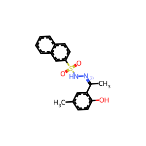 C/C(=N/NS(=O)(=O)c1ccc2ccccc2c1)c1cc(C)ccc1O